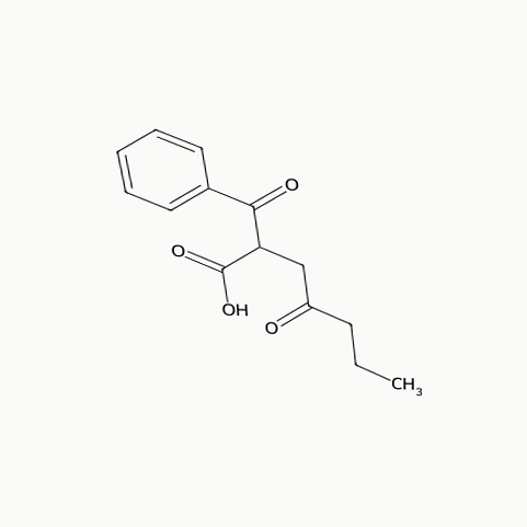 CCCC(=O)CC(C(=O)O)C(=O)c1ccccc1